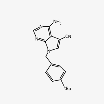 CC(C)(C)c1ccc(Cn2cc(C#N)c3c(N)ncnc32)cc1